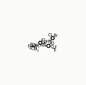 CC(C)(C(=O)NCc1ccc(Cl)c(C(=O)Nc2ccc(OCC(F)F)c(C(=O)Nc3ccc(Br)c(Cl)c3)c2)c1)C(F)(F)F